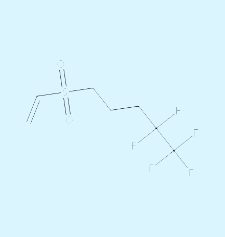 C=CS(=O)(=O)CCCC(F)(F)C(F)(F)F